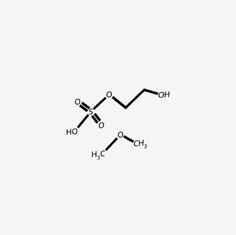 COC.O=S(=O)(O)OCCO